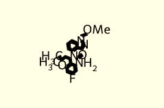 COCCn1ncc2c(N(C(N)=O)C3CC(C)(C)Oc4cc(F)ccc43)cccc21